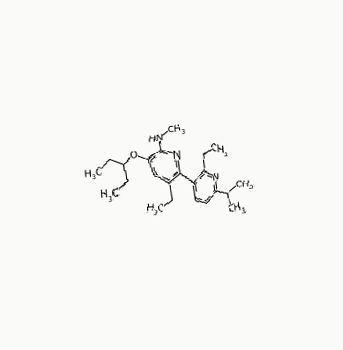 CCc1cc(OC(CC)CC)c(NC)nc1-c1ccc(C(C)C)nc1CC